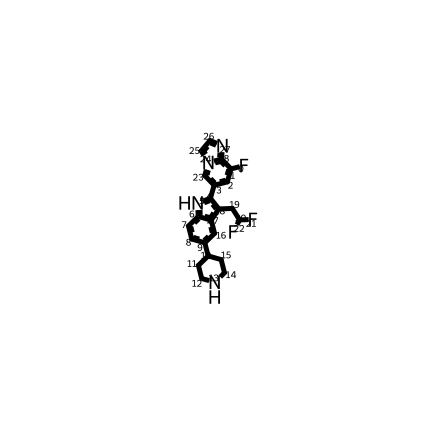 Fc1cc(-c2[nH]c3ccc(C4CCNCC4)cc3c2CC(F)F)cn2ccnc12